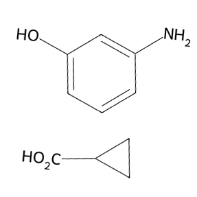 Nc1cccc(O)c1.O=C(O)C1CC1